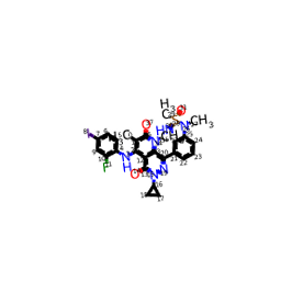 Cc1c(Nc2ccc(I)cc2F)c2c(=O)n(C3CC3)nc(-c3cccc(N(C)S(C)(=N)=O)c3)c2n(C)c1=O